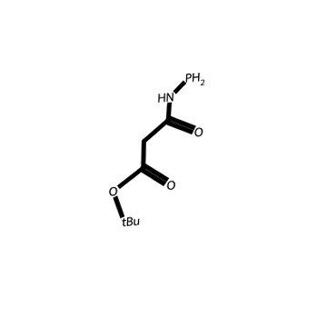 CC(C)(C)OC(=O)CC(=O)NP